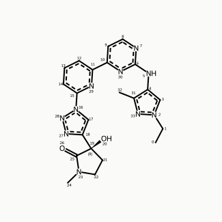 CCn1cc(Nc2nccc(-c3cccc(-n4cc([C@]5(O)CCN(C)C5=O)nn4)n3)n2)c(C)n1